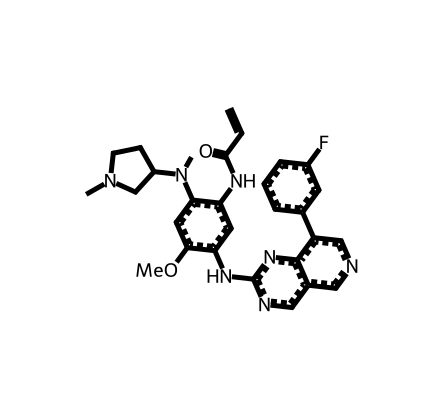 C=CC(=O)Nc1cc(Nc2ncc3cncc(-c4cccc(F)c4)c3n2)c(OC)cc1N(C)C1CCN(C)C1